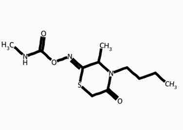 CCCCN1C(=O)CSC(=NOC(=O)NC)C1C